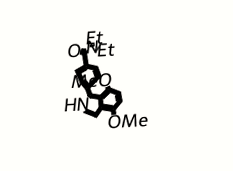 CCN(CC)C(=O)c1ccc(C2NCCc3c(OC)ccc(OC)c32)cc1